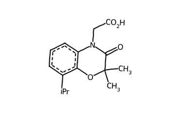 CC(C)c1cccc2c1OC(C)(C)C(=O)N2CC(=O)O